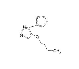 CCCCOc1cn[c]nc1-c1ccccc1